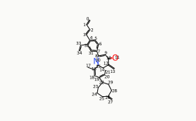 C=C/C=C/c1ccc(C2=CC(=O)C(=C)CC(/C(C)=C\C(=C/C)C3CCCC(=C)CC3)=N2)cc1C=C